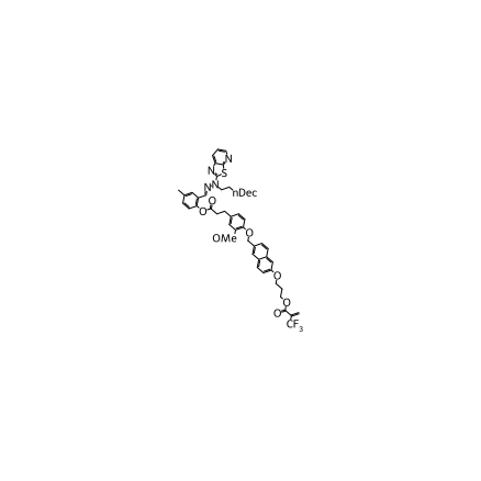 C=C(C(=O)OCCCOc1ccc2cc(COc3ccc(CCC(=O)Oc4ccc(C)cc4/C=N/N(CCCCCCCCCCCC)c4nc5cccnc5s4)cc3OC)ccc2c1)C(F)(F)F